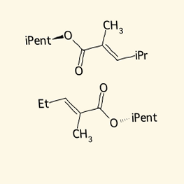 CC/C=C(\C)C(=O)O[C@@H](C)CCC.CCC[C@H](C)OC(=O)/C(C)=C/C(C)C